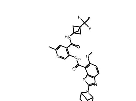 COc1ccc2nc(N3C4COCC3C4)sc2c1C(=O)Nc1cnc(C)cc1C(=O)NC12CC(C(F)(F)F)(C1)C2